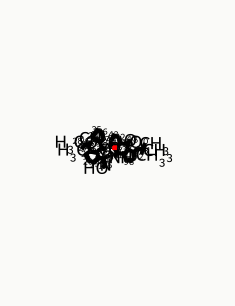 CC(C)(C)C(=O)c1cccc(C(=O)NOC(=NO)c2cccc(C(=O)C(C)(C)C)c2C(=O)c2ccccc2)c1C(=O)c1ccccc1